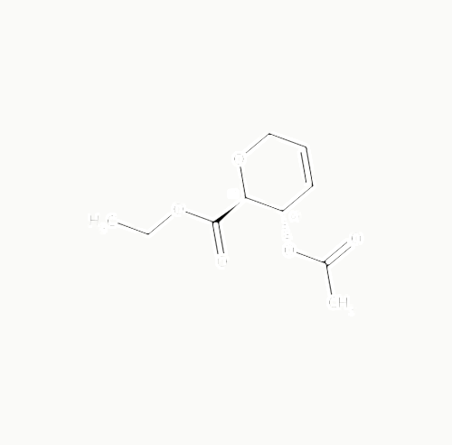 CCOC(=O)[C@H]1OCC=C[C@@H]1OC(C)=O